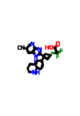 O=C(O)C(F)(F)F.[C-]#[N+]c1cnc2nc(C3(c4ccc5c(c4)CCCN5)CCC3)[nH]c2c1